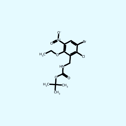 CCOc1c([N+](=O)[O-])cc(Br)c(Cl)c1CNC(=O)OC(C)(C)C